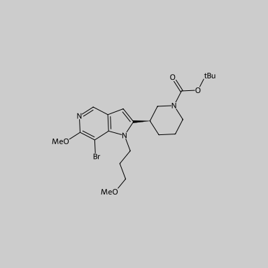 COCCCn1c([C@@H]2CCCN(C(=O)OC(C)(C)C)C2)cc2cnc(OC)c(Br)c21